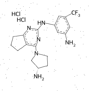 Cl.Cl.Nc1cc(Nc2nc3c(c(N4CC[C@H](N)C4)n2)CCC3)cc(C(F)(F)F)c1